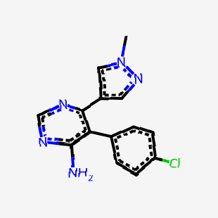 Cn1cc(-c2ncnc(N)c2-c2ccc(Cl)cc2)cn1